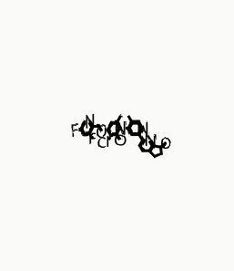 Cc1cnc(-c2ccc3c(n2)C(=O)CC3)cc1-n1c(C)cc(OCc2ncc(F)cc2F)c(Cl)c1=O